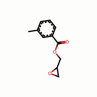 Cc1cccc(C(=O)OCC2CO2)c1